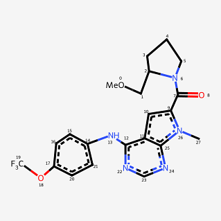 COCC1CCCN1C(=O)c1cc2c(Nc3ccc(OC(F)(F)F)cc3)ncnc2n1C